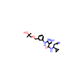 CC(C)(O)COCc1cccc(Nc2n[nH]cc2C(=O)NC(CC#N)C2CC2)c1